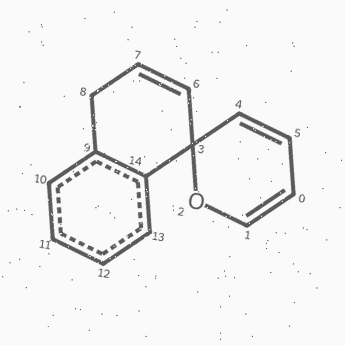 C1=COC2(C=C1)C=CCc1ccccc12